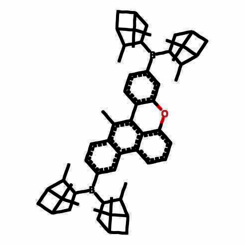 Cc1c2c3c(cccc3c3cc(B(C4CC5CC(C4C)C5(C)C)C4CC5CC(C4C)C5(C)C)ccc13)Oc1cc(B(C3CC4CC(C3C)C4(C)C)C3CC4CC(C3C)C4(C)C)ccc1-2